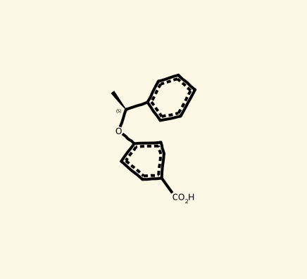 C[C@H](Oc1ccc(C(=O)O)cc1)c1ccccc1